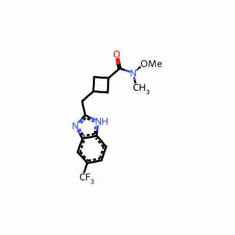 CON(C)C(=O)C1CC(Cc2nc3cc(C(F)(F)F)ccc3[nH]2)C1